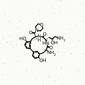 NC[C@H](O)C[C@@H]1NC(=O)[C@@H](N)Cc2cc(ccc2O)-c2ccc(O)c(c2)C[C@@H](C(=O)N2CCOCC2)NC1=O